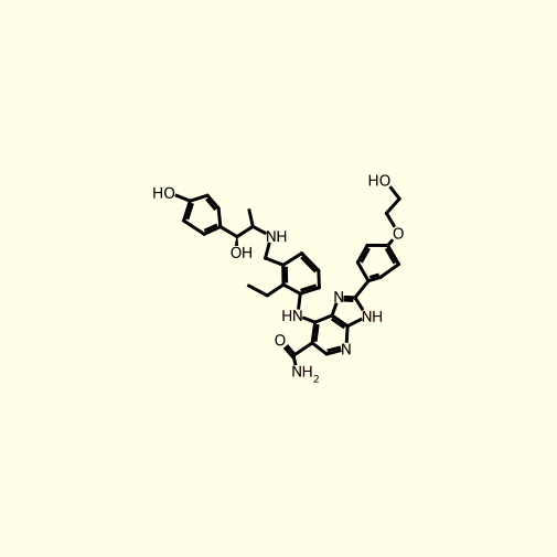 CCc1c(CNC(C)[C@@H](O)c2ccc(O)cc2)cccc1Nc1c(C(N)=O)cnc2[nH]c(-c3ccc(OCCO)cc3)nc12